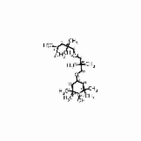 CN(C)CC(C)(C)COCC(C)(C)COC1CC(C)(C)N(O)C(C)(C)C1